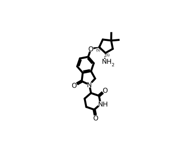 CC1(C)C[C@H](Oc2ccc3c(c2)CN(C2CCC(=O)NC2=O)C3=O)[C@@H](N)C1